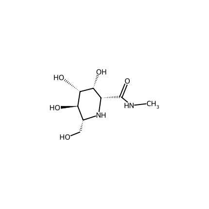 CNC(=O)[C@@H]1N[C@H](CO)[C@@H](O)[C@H](O)[C@@H]1O